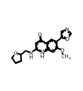 COc1cc2[nH]c(NCC3CCCO3)cc(=O)c2cc1-c1cnco1